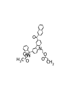 C=CC(=O)OCCn1c2ccc(C(=O)c3ccc4ccccc4c3)cc2c2cc(/C(=N/OC(C)=O)c3ccccc3C)ccc21